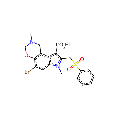 CCOC(=O)c1c(CS(=O)(=O)c2ccccc2)n(C)c2cc(Br)c3c(c12)CN(C)CO3